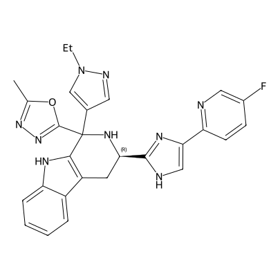 CCn1cc(C2(c3nnc(C)o3)N[C@@H](c3nc(-c4ccc(F)cn4)c[nH]3)Cc3c2[nH]c2ccccc32)cn1